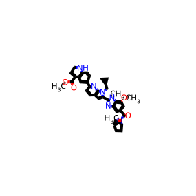 COC(=O)C1=CCNc2ccc(-c3ccc4cc(-c5nc6cc(C(=O)N7CC8CCC7[C@@H]8C)cc(OC)c6n5C)n(CC5CC5)c4n3)cc21